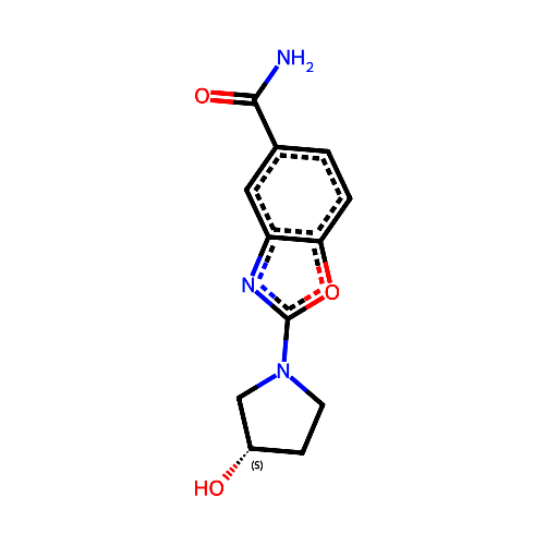 NC(=O)c1ccc2oc(N3CC[C@H](O)C3)nc2c1